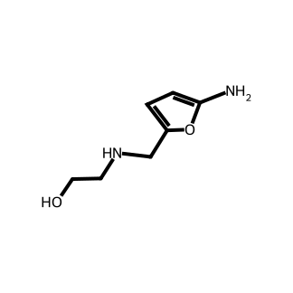 Nc1ccc(CNCCO)o1